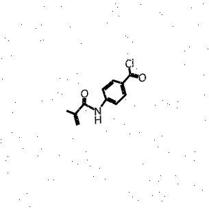 C=C(C)C(=O)Nc1ccc(C(=O)Cl)cc1